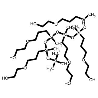 C[SiH](CCCOCCO)O[Si](C)(CCCOCCO)O[Si](C)(CCCOCCO)O[Si](C)(CCCOCCO)O[Si](C)(CCCOCCO)O[Si](C)(C)C